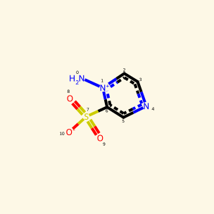 N[n+]1ccncc1S(=O)(=O)[O-]